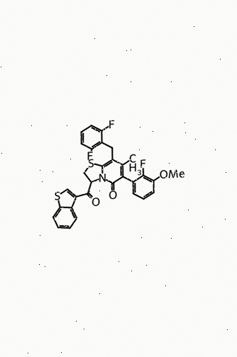 COc1cccc(-c2c(C)c(Cc3c(F)cccc3F)c3n(c2=O)C(C(=O)c2csc4ccccc24)CS3)c1F